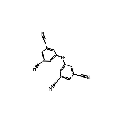 N#Cc1cc(C#N)cc([N]c2cc(C#N)cc(C#N)c2)c1